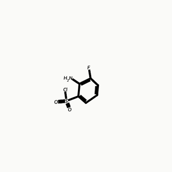 Nc1c(F)cccc1S(=O)(=O)Cl